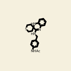 CC(=O)Nc1ccc(CNC2=Nc3ccccc3NC23CCSCC3)cc1